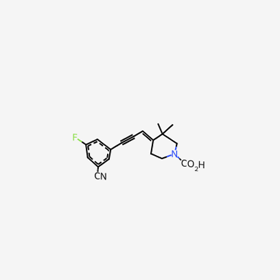 CC1(C)CN(C(=O)O)CC/C1=C\C#Cc1cc(F)cc(C#N)c1